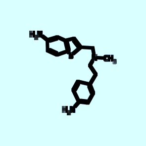 CN(CCc1ccc(N)cc1)Cc1cc2cc(N)ccc2s1